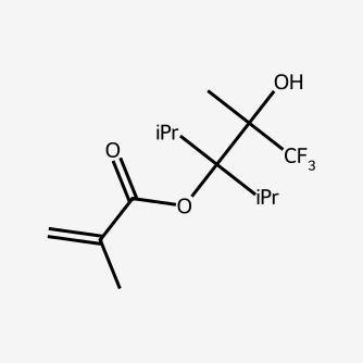 C=C(C)C(=O)OC(C(C)C)(C(C)C)C(C)(O)C(F)(F)F